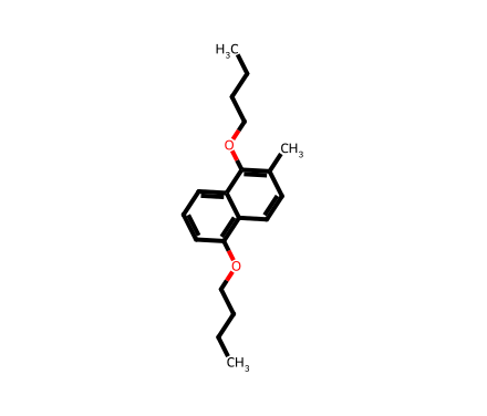 CCCCOc1cccc2c(OCCCC)c(C)ccc12